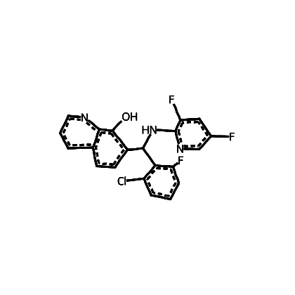 Oc1c(C(Nc2ncc(F)cc2F)c2c(F)cccc2Cl)ccc2cccnc12